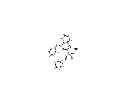 O=C(OC(Oc1ccccc1)c1ccccc1)C1(C=Cc2ccccc2)CC1Br